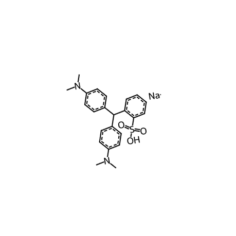 CN(C)c1ccc(C(c2ccc(N(C)C)cc2)c2ccccc2S(=O)(=O)O)cc1.[Na]